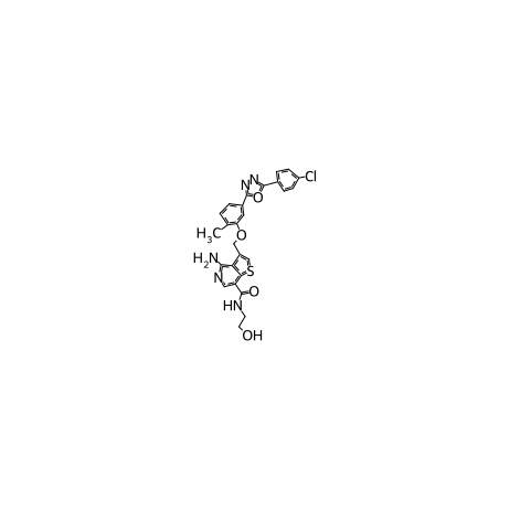 Cc1ccc(-c2nnc(-c3ccc(Cl)cc3)o2)cc1OCc1csc2c(C(=O)NCCO)cnc(N)c12